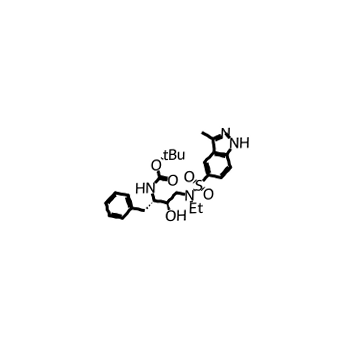 CCN(C[C@@H](O)[C@H](Cc1ccccc1)NC(=O)OC(C)(C)C)S(=O)(=O)c1ccc2[nH]nc(C)c2c1